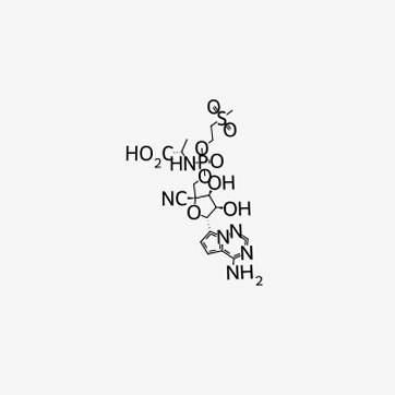 C[C@H](NP(=O)(OCCS(C)(=O)=O)OC[C@@]1(C#N)O[C@@H](c2ccc3c(N)ncnn23)[C@H](O)[C@@H]1O)C(=O)O